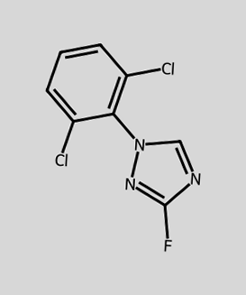 Fc1ncn(-c2c(Cl)cccc2Cl)n1